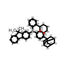 CC1(C)c2ccccc2-c2ccc(N(c3ccc(C45CC6CC(CC(C6)C4)C5)cc3)c3ccccc3C3CCCCC3)cc21